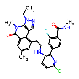 CCn1ncc2c3c(CCNc4ccc(Cl)nc4-c4ccc(C(=O)NC)c(F)c4)cc(C)cc3c(=O)n(C)c21